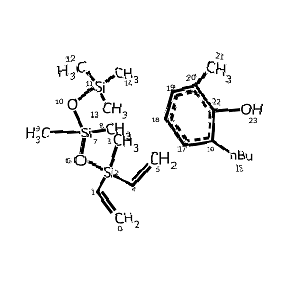 C=C[Si](C)(C=C)O[Si](C)(C)O[Si](C)(C)C.CCCCc1cccc(C)c1O